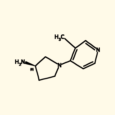 Cc1cnccc1N1CC[C@@H](N)C1